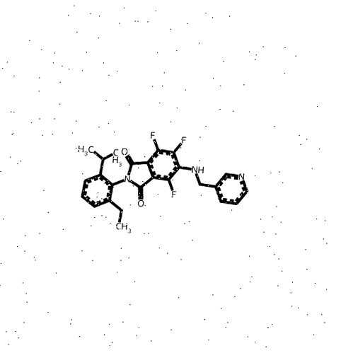 CCc1cccc(C(C)C)c1N1C(=O)c2c(F)c(F)c(NCc3cccnc3)c(F)c2C1=O